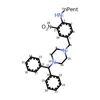 CCCCCNc1ccc(CN2CCN(C(c3ccccc3)c3ccccc3)CC2)cc1[N+](=O)[O-]